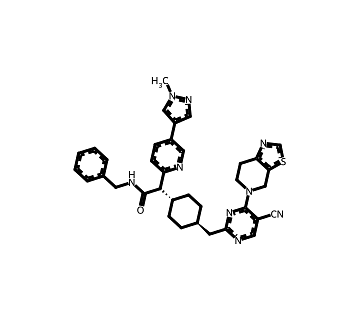 Cn1cc(-c2ccc(C(C(=O)NCc3ccccc3)[C@H]3CC[C@H](Cc4ncc(C#N)c(N5CCc6ncsc6C5)n4)CC3)nc2)cn1